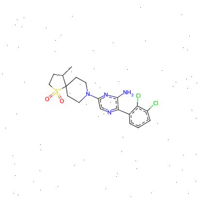 CC1CCS(=O)(=O)C12CCN(c1cnc(-c3cccc(Cl)c3Cl)c(N)n1)CC2